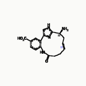 N[C@H]1C/C=C/CCC(=O)Nc2ccc(C(=O)O)cc2-c2c[nH]c1n2